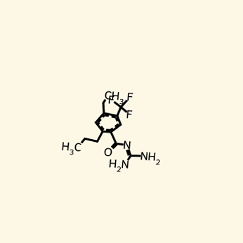 CCCc1cc(CC)c(C(F)(F)F)cc1C(=O)N=C(N)N